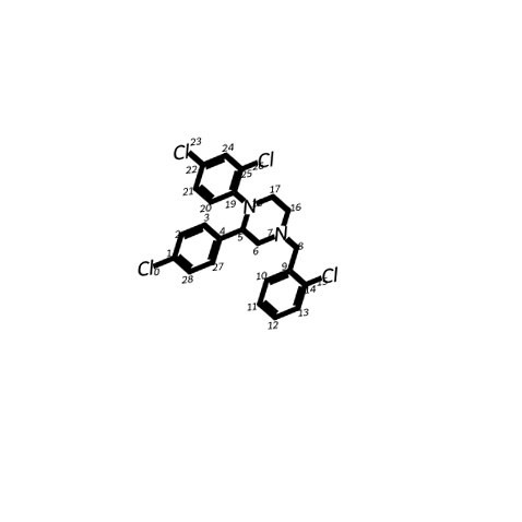 Clc1ccc(C2CN(Cc3ccccc3Cl)CCN2c2ccc(Cl)cc2Cl)cc1